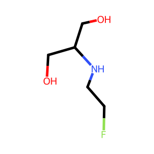 OCC(CO)NCCF